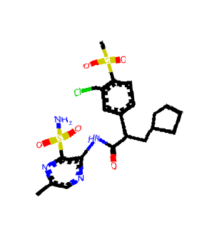 Cc1cnc(NC(=O)C(CC2CCCC2)c2ccc(S(C)(=O)=O)c(Cl)c2)c(S(N)(=O)=O)n1